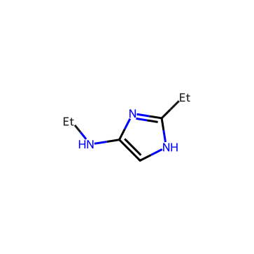 CCNc1c[nH]c(CC)n1